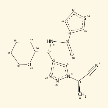 C[C@H](C#N)n1cc([C@@H](NC(=O)c2ccsc2)C2CCCCO2)nn1